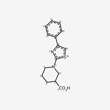 O=C(O)C1CCCN(c2nc(-c3ccccc3)cs2)C1